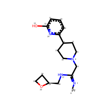 CC(C)/N=C(/CN1CCC(c2cccc(O)n2)CC1)NC[C@@H]1CCO1